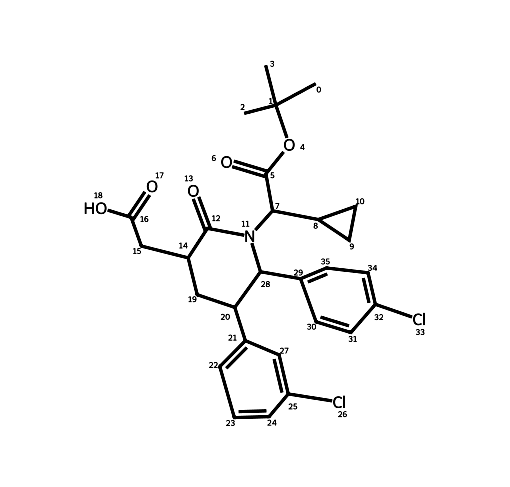 CC(C)(C)OC(=O)C(C1CC1)N1C(=O)C(CC(=O)O)CC(c2cccc(Cl)c2)C1c1ccc(Cl)cc1